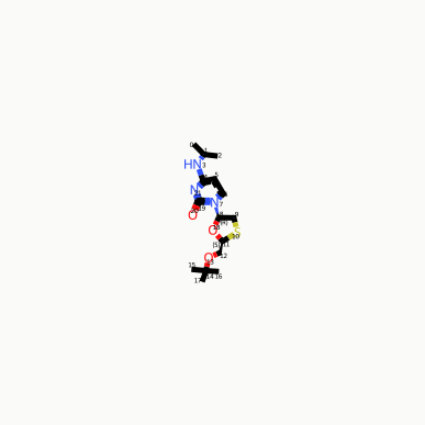 CC(C)Nc1ccn([C@H]2CS[C@@H](COC(C)(C)C)O2)c(=O)n1